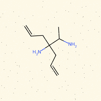 C=CCC(N)(CC=C)C(C)N